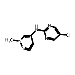 CN1C=C(Nc2ncc(Cl)cn2)C=C=N1